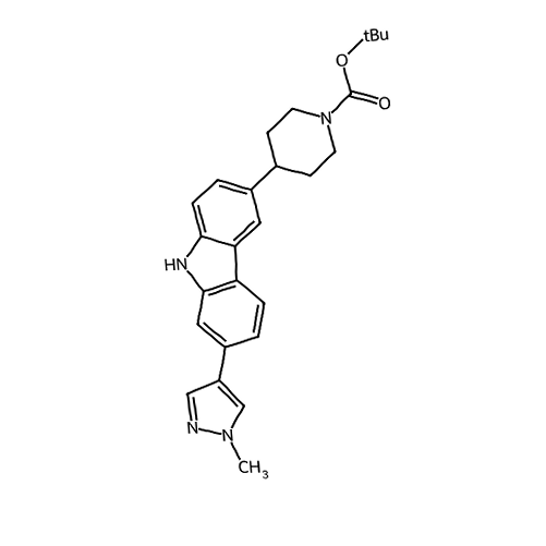 Cn1cc(-c2ccc3c(c2)[nH]c2ccc(C4CCN(C(=O)OC(C)(C)C)CC4)cc23)cn1